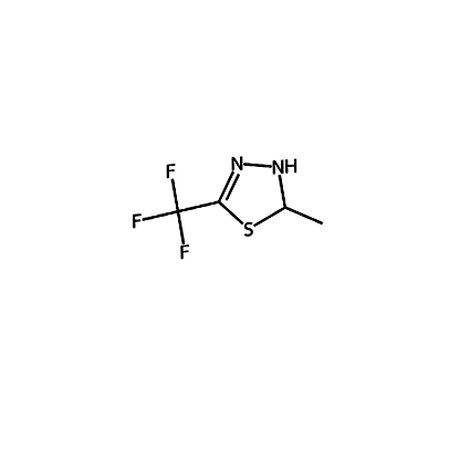 CC1NN=C(C(F)(F)F)S1